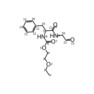 CCOCCOC(=O)NC(Cc1ccccc1)C(=O)NCC=O